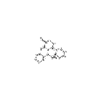 COc1ccccc1C=C1CC(c2ccccc2)CCC1=O